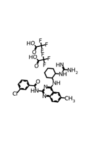 Cc1ccc2nc(NC(=O)c3cccc(Cl)c3)nc(NC3CCCCC3NC(=N)N)c2c1.O=C(O)C(F)(F)F.O=C(O)C(F)(F)F